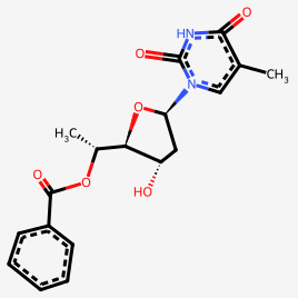 Cc1cn([C@H]2C[C@H](O)[C@@H]([C@@H](C)OC(=O)c3ccccc3)O2)c(=O)[nH]c1=O